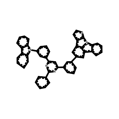 c1ccc(-c2nc(-c3cccc(-c4cc5c6ccccc6n6c7sccc7c(c4)c56)c3)cc(-c3cccc(-n4c5ccccc5c5ccccc54)c3)n2)cc1